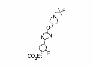 CCOC(=O)c1ccc(-c2cnc(OCC3CCN(CC(C)(C)F)CC3)cn2)cc1F